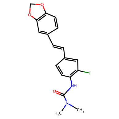 CN(C)C(=O)Nc1ccc(/C=C/c2ccc3c(c2)OCO3)cc1F